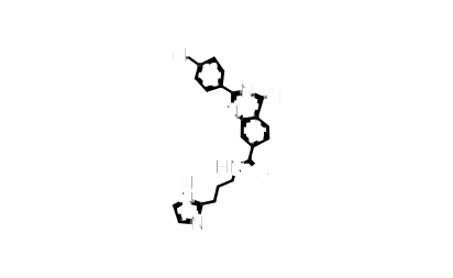 O=C(NCCCc1ncc[nH]1)c1ccc2c(Cl)nc(-c3ccc(Cl)cc3)nc2c1